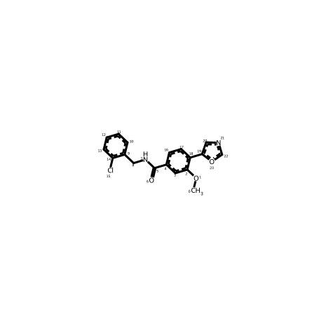 COc1cc(C(=O)NCc2ccccc2Cl)ccc1-c1cnco1